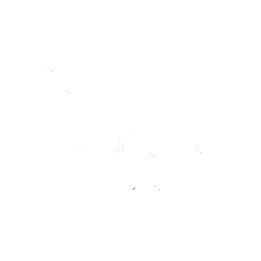 C[C@H](N)C(=O)N[C@@H](Cc1c[nH]c2ccccc12)C(=O)N[C@@H](CCCNC(N)=O)C(=O)O